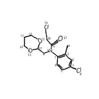 Cc1cc(Cl)ccc1N(CC1OCCCO1)C(=O)CCl